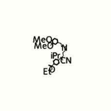 C=C(OCC)c1ccc(C(C#N)(CCCN(C)CCc2ccc(OC)c(OC)c2)C(C)C)cc1